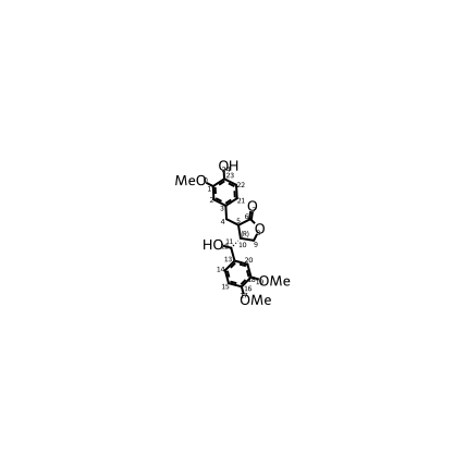 COc1cc(CC2C(=O)OC[C@@H]2C(O)c2ccc(OC)c(OC)c2)ccc1O